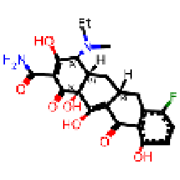 CCN(C)[C@@H]1C(O)=C(C(N)=O)C(=O)[C@@]2(O)C(O)=C3C(=O)c4c(O)ccc(F)c4C[C@H]3C[C@@H]12